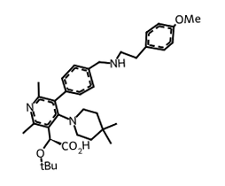 COc1ccc(CCNCc2ccc(-c3c(C)nc(C)c([C@H](OC(C)(C)C)C(=O)O)c3N3CCC(C)(C)CC3)cc2)cc1